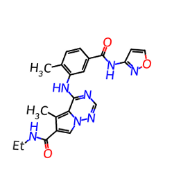 CCNC(=O)c1cn2ncnc(Nc3cc(C(=O)Nc4ccon4)ccc3C)c2c1C